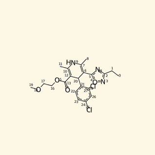 CCc1noc(C2=C(C)NC(C)=C(C(=O)OCCOC)C2c2ccc(Cl)cc2Cl)n1